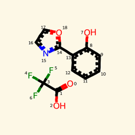 O=C(O)C(F)(F)F.Oc1ccccc1-c1ncco1